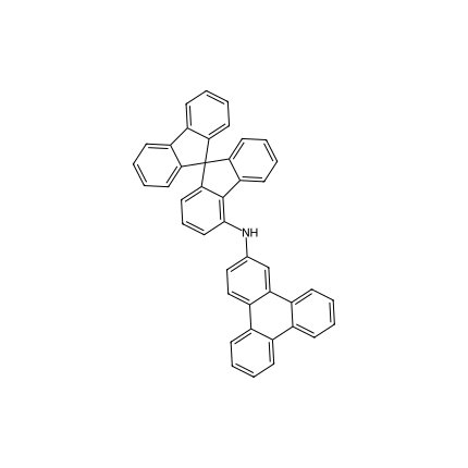 c1ccc2c(c1)-c1ccccc1C21c2ccccc2-c2c(Nc3ccc4c5ccccc5c5ccccc5c4c3)cccc21